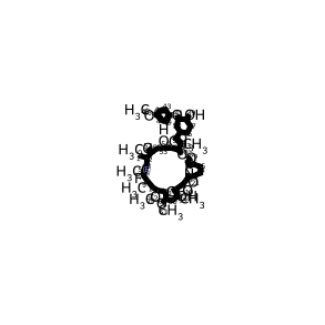 CCC1/C=C(\C)C(F)C(C)CC(OC)C2OC(O)(C(=O)C(=O)N3CCCCC3C(=O)OC(C(C)=CC3CCC(O)C(Oc4ccc(OC)cc4)C3)C(C)C(O)CC1=O)C(C)CC2OC